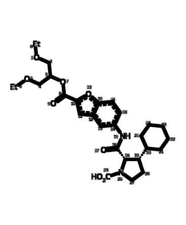 CCOCC(COCC)OC(=O)c1cc2cc(NC(=O)[C@@H]3[C@H](C4CCCCC4)CCN3C(=O)O)ccc2o1